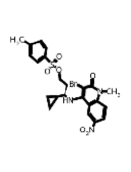 Cc1ccc(S(=O)(=O)OCC[C@@H](Nc2c(Br)c(=O)n(C)c3ccc([N+](=O)[O-])cc23)C2CC2)cc1